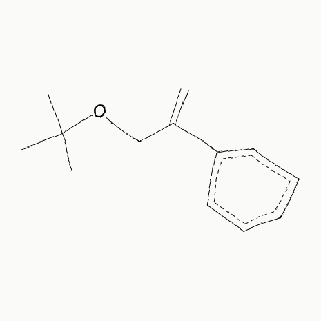 C=C(COC(C)(C)C)c1ccccc1